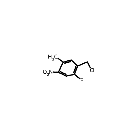 Cc1cc(CCl)c(F)cc1[N+](=O)[O-]